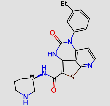 CCc1cccc(N2C(=O)Nc3c(C(=O)N[C@@H]4CCCNC4)sc4nccc2c34)c1